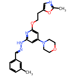 Cc1cccc(C=NNc2cc(N3CCOCC3)cc(OCCc3cnc(C)o3)n2)c1